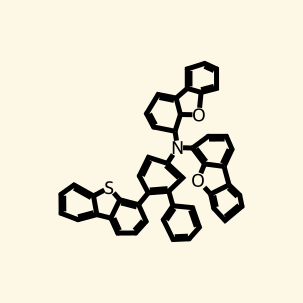 C1=CC(N(c2ccc(-c3cccc4c3sc3ccccc34)c(-c3ccccc3)c2)c2cccc3c2oc2ccccc23)C2Oc3ccccc3C2=C1